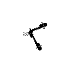 CCCCCCCCC1(CCCCCCCC)c2cc(C)c(CCCCCCCCc3ccc4c(c3)c(=O)c3ccccc3n4C)cc2-c2cc(CCCCCCCCc3ccc4c(c3)c(=O)c3ccccc3n4C)c(C)cc21